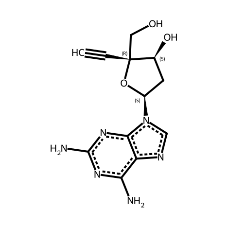 C#C[C@]1(CO)O[C@H](n2cnc3c(N)nc(N)nc32)C[C@@H]1O